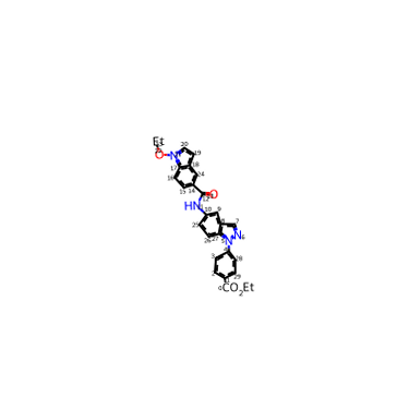 CCOC(=O)c1ccc(-n2ncc3cc(NC(=O)c4ccc5c(ccn5OCC)c4)ccc32)cc1